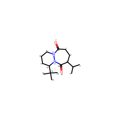 CC(C)C1CCC(=O)N2CCCC(C(C)(C)C)N2C1=O